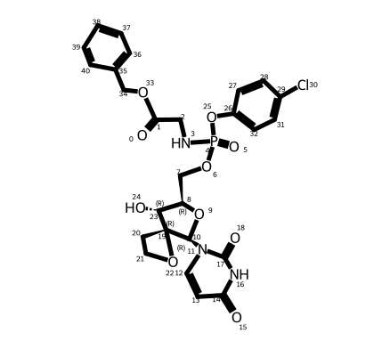 O=C(CNP(=O)(OC[C@H]1O[C@@H](n2ccc(=O)[nH]c2=O)[C@@]2(CCO2)[C@@H]1O)Oc1ccc(Cl)cc1)OCc1ccccc1